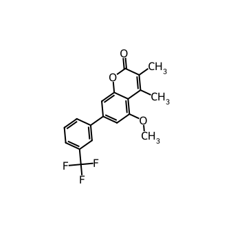 COc1cc(-c2cccc(C(F)(F)F)c2)cc2oc(=O)c(C)c(C)c12